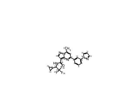 Cc1cc(-c2cccc(-n3cccn3)c2)nc2c(C(=O)NC(C3CC3)C(F)(F)F)cnn12